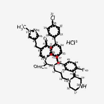 Cl.Cn1cc(Cc2cn(C(C=O)N(CCCN3CCNCC3=O)Cc3ccc(-c4ccc(Cl)cc4)cc3)c(SCc3ccc(F)cc3)nc2=O)cn1